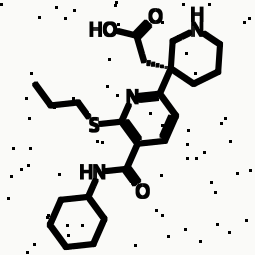 CCCSc1nc([C@]2(CC(=O)O)CCCNC2)ccc1C(=O)NC1CCCCC1